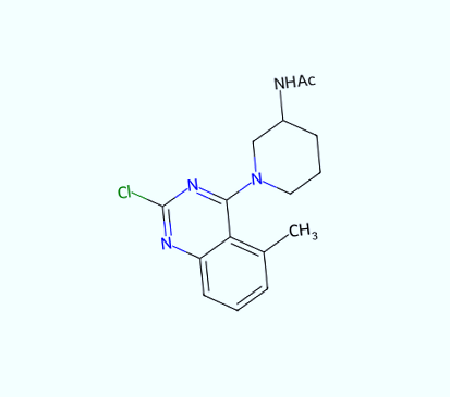 CC(=O)NC1CCCN(c2nc(Cl)nc3cccc(C)c23)C1